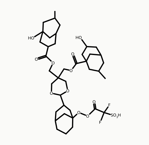 CC1CC2CC(C(=O)OCC3(COC(=O)C45CC(C)CC(CC(O)C4)C5)COC(C4CC5CCCC(OOC(=O)C(F)(F)S(=O)(=O)O)(C5)C4)OC3)CC(O)(C1)C2